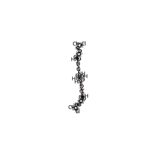 O=C(NCCOCCOCCNS(=O)(=O)c1ccc(O[C@@H]2CCC3=C2C=C(Cl)CC3Cl)cc1)[C@H](O)[C@@H](O)C(=O)NCCOCCOCCNS(=O)(=O)c1ccc(O[C@@H]2CCc3c(Cl)cc(Cl)cc32)cc1